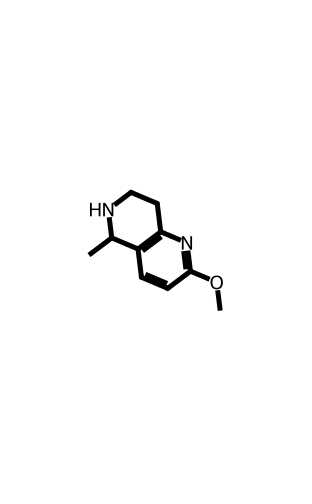 COc1ccc2c(n1)CCNC2C